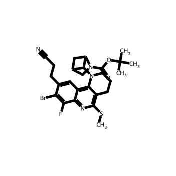 CSc1nc2c(F)c(Br)c(CCC#N)cc2c2c1CCCN2C1C2CC1N(C(=O)OC(C)(C)C)C2